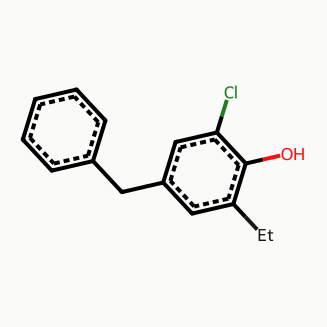 CCc1cc(Cc2ccccc2)cc(Cl)c1O